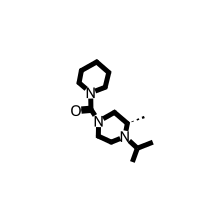 CC(C)N1CCN(C(=O)N2CCCCC2)C[C@@H]1C